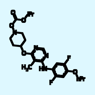 CCCOc1cc(F)c(Nc2ncnc(OC3CCN(OC(=O)OC(C)C)CC3)c2C)cc1F